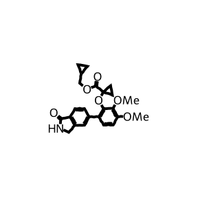 COc1ccc(-c2ccc3c(c2)CNC3=O)c(OC2(C(=O)OCC3CC3)CC2)c1OC